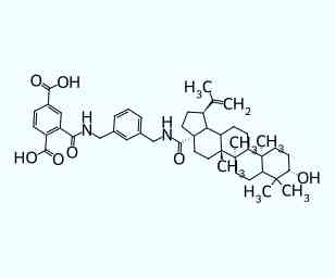 C=C(C)[C@@H]1CC[C@]2(C(=O)NCc3cccc(CNC(=O)c4cc(C(=O)O)ccc4C(=O)O)c3)CC[C@]3(C)C(CCC4[C@@]5(C)CC[C@H](O)C(C)(C)C5CC[C@]43C)C12